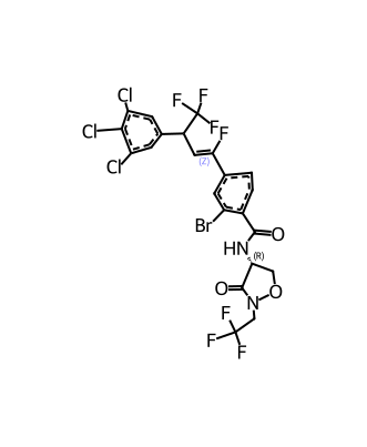 O=C(N[C@@H]1CON(CC(F)(F)F)C1=O)c1ccc(/C(F)=C/C(c2cc(Cl)c(Cl)c(Cl)c2)C(F)(F)F)cc1Br